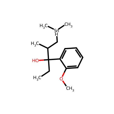 CCC(O)(c1ccccc1OC)C(C)[CH2][SnH]([CH3])[CH3]